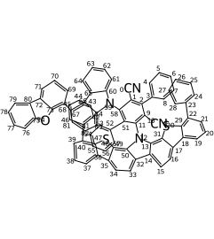 N#Cc1c(-c2ccccc2)c(C#N)c(-n2c3c(ccc4c5cccc(-c6ccccc6)c5sc43)c3ccc4c5cccc(-c6ccccc6)c5sc4c32)c(-c2ccccc2)c1-n1c2ccccc2c2c(-c3cccc4c3oc3ccccc34)cccc21